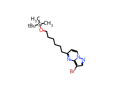 CC(C)(C)[Si](C)(C)OCCCCCCc1ccn2ncc(Br)c2n1